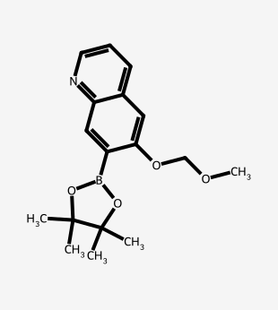 COCOc1cc2cccnc2cc1B1OC(C)(C)C(C)(C)O1